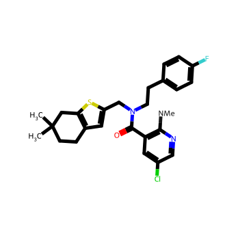 CNc1ncc(Cl)cc1C(=O)N(CCc1ccc(F)cc1)Cc1cc2c(s1)CC(C)(C)CC2